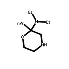 CCCC1(N(CC)CC)CNCCO1